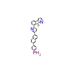 Pc1ccc(-c2ccc3cc(-c4ccc(-c5cccc6c5sc5ncccc56)nc4)ccc3c2)cc1